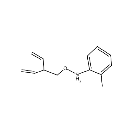 C=CC(C=C)CO[SiH2]c1ccccc1C